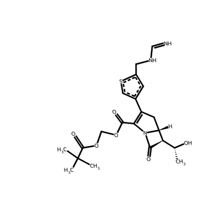 C[C@@H](O)[C@H]1C(=O)N2C(C(=O)OCOC(=O)C(C)(C)C)=C(c3csc(CNC=N)c3)C[C@H]12